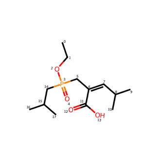 CCOP(=O)(CC(=CC(C)C)C(=O)O)CC(C)C